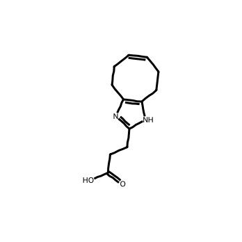 O=C(O)CCc1nc2c([nH]1)CCC=CCC2